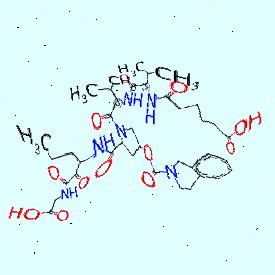 CCCC(NC(=O)C1CC(OC(=O)N2CCc3ccccc3C2)CN1C(=O)[C@@H](NC(=O)[C@@H](NC(=O)CCCCC(=O)O)C(C)C)C(C)C)C(=O)C(=O)NCC(=O)O